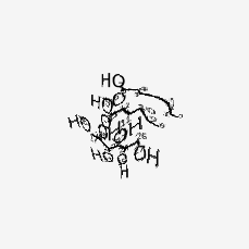 CCCCCC(=O)O.CCCCCC(=O)O.OCC(O)C(O)C(O)C(O)CO